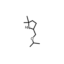 CC(C)OCC1CCC(C)(C)N1